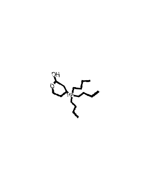 CCCC[PH](CCCC)(CCCC)C1CCOC(O)C1